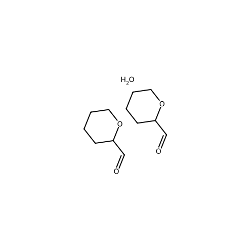 O.O=CC1CCCCO1.O=CC1CCCCO1